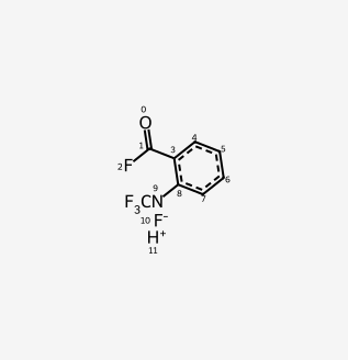 O=C(F)c1ccccc1NC(F)(F)F.[F-].[H+]